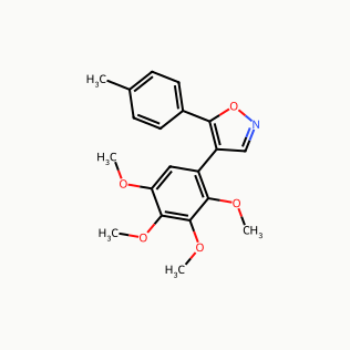 COc1cc(-c2cnoc2-c2ccc(C)cc2)c(OC)c(OC)c1OC